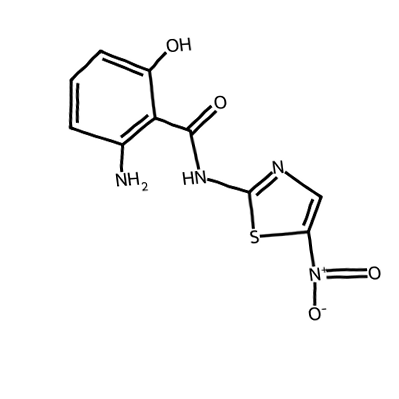 Nc1cccc(O)c1C(=O)Nc1ncc([N+](=O)[O-])s1